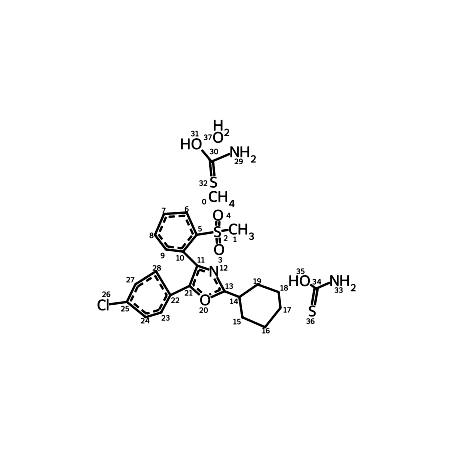 C.CS(=O)(=O)c1ccccc1-c1nc(C2CCCCC2)oc1-c1ccc(Cl)cc1.NC(O)=S.NC(O)=S.O